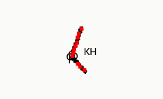 CCCCCCCCCCCCCCCCOS(=O)(=O)C(F)CCCCCCCCCCC.[KH]